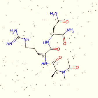 CC(=O)N(C)[C@@H](C)C(=O)N[C@@H](CCCNC(=N)N)C(=O)N[C@@H](CC(N)=O)C(N)=O